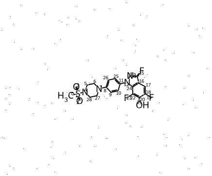 CS(=O)(=O)N1CCN(c2ccc(-n3nc(F)c4cc(F)c(O)c(F)c43)cc2)CC1